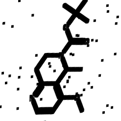 COc1ccnc2c1C(C)N(C(=O)OC(C)(C)C)CC2